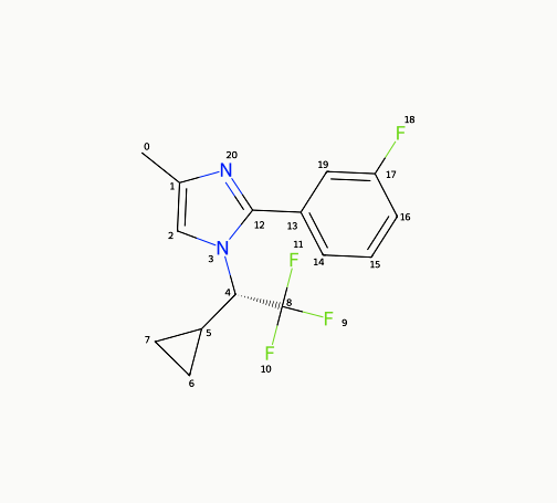 Cc1cn([C@@H](C2CC2)C(F)(F)F)c(-c2cccc(F)c2)n1